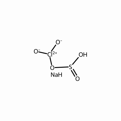 O=S(O)O[Cl+2]([O-])[O-].[NaH]